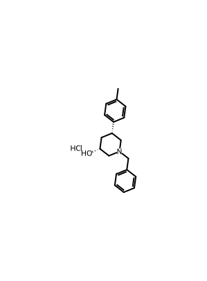 Cc1ccc([C@H]2C[C@@H](O)CN(Cc3ccccc3)C2)cc1.Cl